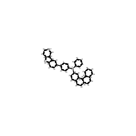 c1ccc(N(c2ccc(-c3ccc4oc5ccncc5c4c3)cc2)c2ccc3ccc4ccc5ccccc5c4c3c2)cc1